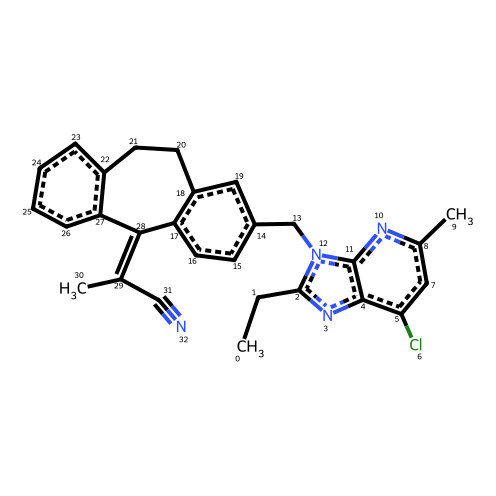 CCc1nc2c(Cl)cc(C)nc2n1Cc1ccc2c(c1)CCc1ccccc1C2=C(C)C#N